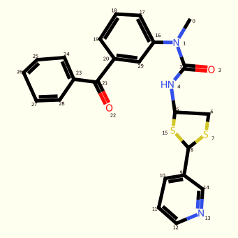 CN(C(=O)NC1CSC(c2cccnc2)S1)c1cccc(C(=O)c2ccccc2)c1